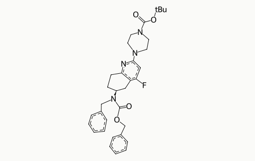 CC(C)(C)OC(=O)N1CCN(c2cc(F)c3c(n2)CC[C@H](N(Cc2ccccc2)C(=O)OCc2ccccc2)C3)CC1